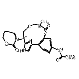 COC(=O)Nc1ccc2c(c1)NC(=O)[C@H](C)CCC[C@H](N1CCCOC1=O)c1nc-2c[nH]1